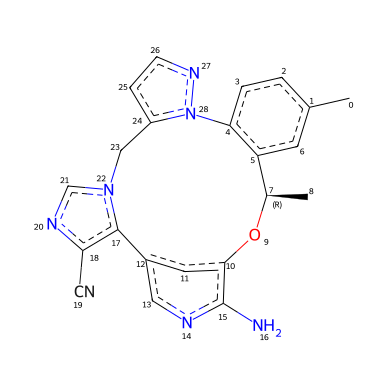 Cc1ccc2c(c1)[C@@H](C)Oc1cc(cnc1N)-c1c(C#N)ncn1Cc1ccnn1-2